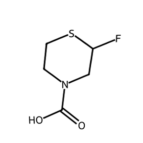 O=C(O)N1CCSC(F)C1